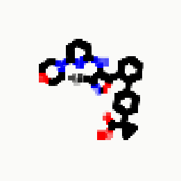 Cc1noc(-c2ccccc2-c2ccc(C3(C(=O)O)CC3)cc2)c1Nc1cccc(N2CCOCC2)n1